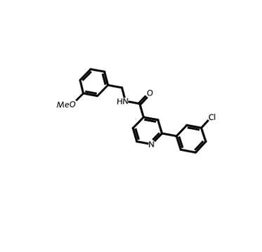 COc1cccc(CNC(=O)c2ccnc(-c3cccc(Cl)c3)c2)c1